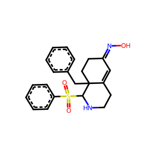 O=S(=O)(c1ccccc1)C1NCCC2=CC(=NO)CCC21Cc1ccccc1